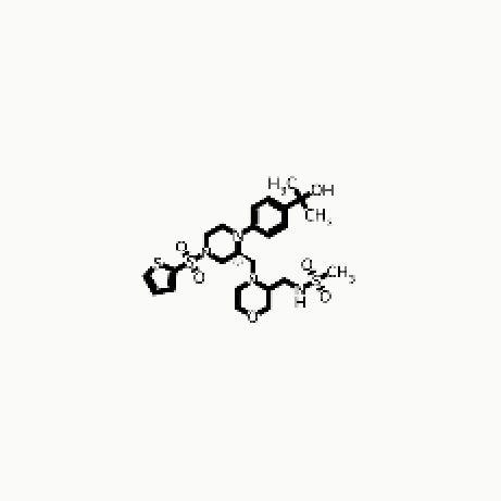 CC(C)(O)c1ccc(N2CCN(S(=O)(=O)c3cccs3)C[C@@H]2CN2CCOCC2CNS(C)(=O)=O)cc1